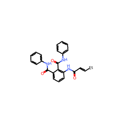 CCC=CC(=O)Nc1cccc(C(=O)Nc2ccccc2)c1C(=O)Nc1ccccc1